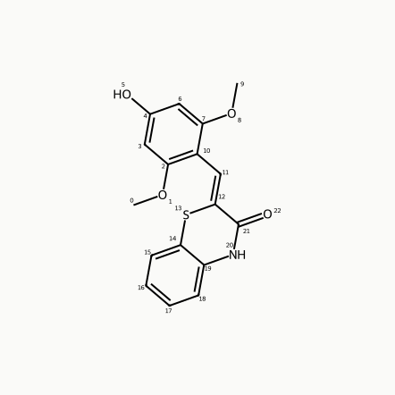 COc1cc(O)cc(OC)c1C=C1Sc2ccccc2NC1=O